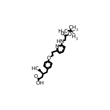 C#CC(CC(=O)O)Cc1ccc(OCCc2cccc(NCC(=O)OC(C)(C)C)n2)cc1